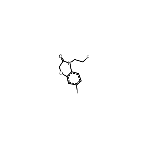 O=C1COc2cc(I)ccc2N1CCF